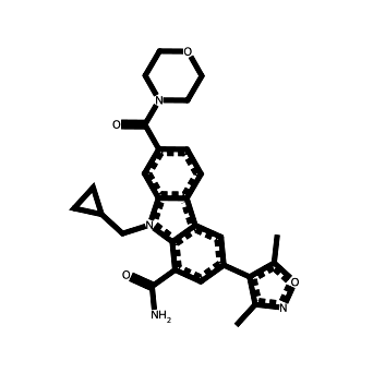 Cc1noc(C)c1-c1cc(C(N)=O)c2c(c1)c1ccc(C(=O)N3CCOCC3)cc1n2CC1CC1